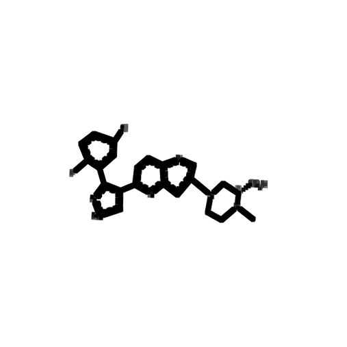 CN1CCN(c2cnc3ccc(-c4c[nH]nc4-c4cc(Cl)ccc4F)nc3c2)C[C@@H]1C(=O)O